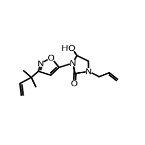 C=CCN1CC(O)N(c2cc(C(C)(C)C=C)no2)C1=O